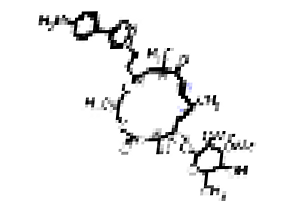 CC[C@H]1OC(=O)CC[C@H](C)C[C@@H](CCn2cc(-c3ccc(N)cc3)nn2)C[C@@H](C)C(=O)/C=C/C(C)=C/[C@@H]1COC1OC(C)C(O)C(OC)C1OC